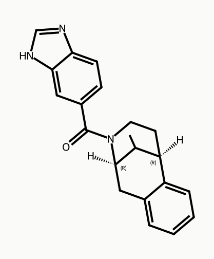 CC1[C@H]2Cc3ccccc3[C@@H]1CCN2C(=O)c1ccc2nc[nH]c2c1